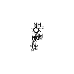 Cl.Cl.Nc1ccc(NCCCN2CCCC2)cc1